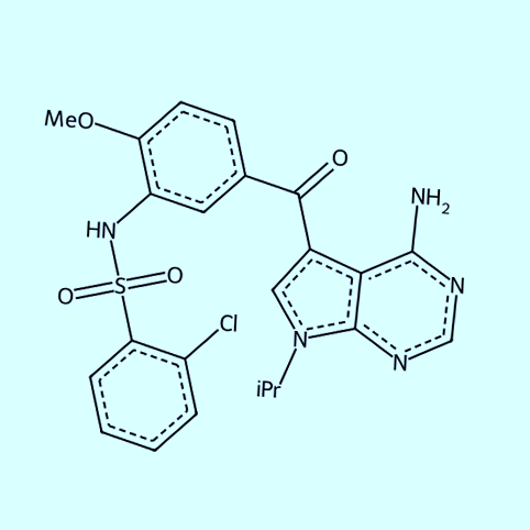 COc1ccc(C(=O)c2cn(C(C)C)c3ncnc(N)c23)cc1NS(=O)(=O)c1ccccc1Cl